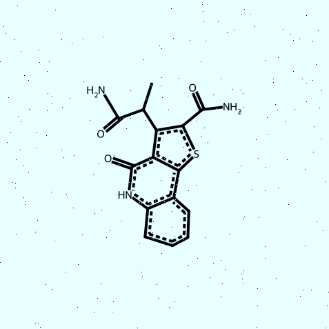 CC(C(N)=O)c1c(C(N)=O)sc2c1c(=O)[nH]c1ccccc12